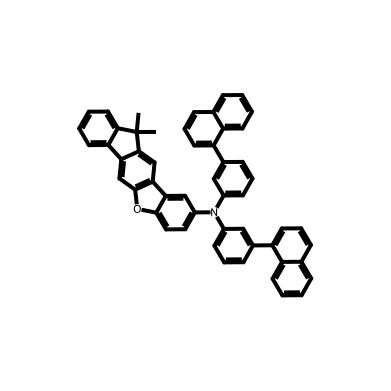 CC1(C)c2ccccc2-c2cc3oc4ccc(N(c5cccc(-c6cccc7ccccc67)c5)c5cccc(-c6cccc7ccccc67)c5)cc4c3cc21